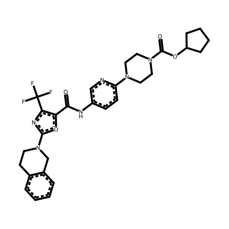 O=C(Nc1ccc(N2CCN(C(=O)OC3CCCC3)CC2)nc1)c1oc(N2CCc3ccccc3C2)nc1C(F)(F)F